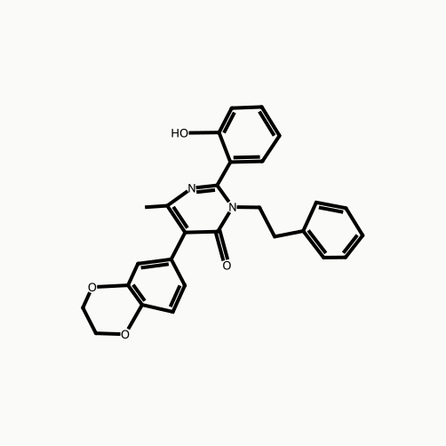 Cc1nc(-c2ccccc2O)n(CCc2ccccc2)c(=O)c1-c1ccc2c(c1)OCCO2